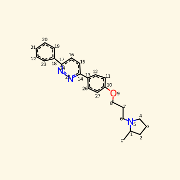 CC1CCCN1CCCOc1ccc(-c2ccc(-c3ccccc3)nn2)cc1